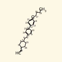 C#CC1CCC(CCc2ccc(-c3ccc(OCCCC)cc3)cc2)CC1